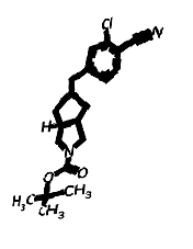 CC(C)(C)OC(=O)N1CC2CC(Cc3ccc(C#N)c(Cl)c3)C[C@H]2C1